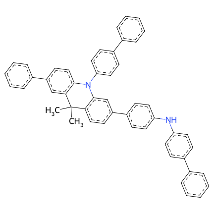 CC1(C)c2ccc(-c3ccc(Nc4ccc(-c5ccccc5)cc4)cc3)cc2N(c2ccc(-c3ccccc3)cc2)c2ccc(-c3ccccc3)cc21